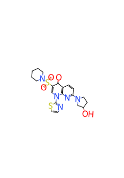 O=c1c(S(=O)(=O)N2CCCCC2)cn(-c2nccs2)c2nc(N3CCC(O)C3)ccc12